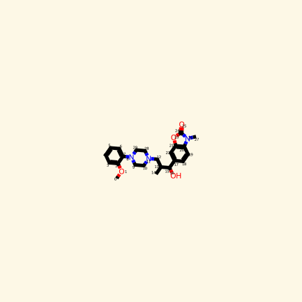 COc1ccccc1N1CCN(CC(C)C(O)c2ccc3c(c2)oc(=O)n3C)CC1